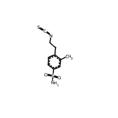 Cc1cc(S(N)(=O)=O)ccc1CCN=C=S